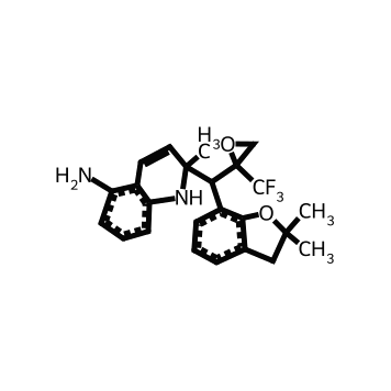 CC1(C)Cc2cccc(C(C3(C)C=Cc4c(N)cccc4N3)C3(C(F)(F)F)CO3)c2O1